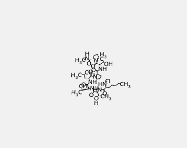 CCCCC[C@H](NCl)C(=O)NC(C(=O)N[C@@H](C=C(C)C)C(=O)N[C@H](CC(C)C)C(=O)N1CCC[C@@H]1C(=O)N[C@H](C(=O)N1CCC[C@H]1C(=O)NC)C(C)O)[C@H](C)O